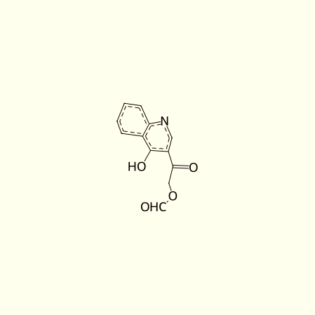 O=COCC(=O)c1cnc2ccccc2c1O